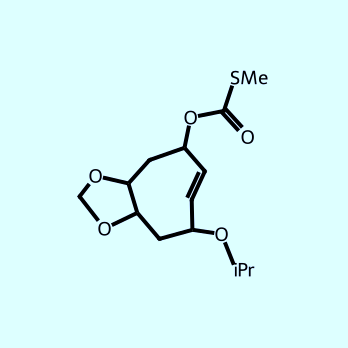 CSC(=O)OC1/C=C/C(OC(C)C)CC2OCOC2C1